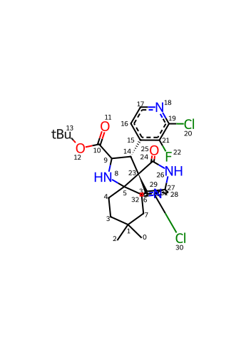 CC1(C)CCC2(CC1)NC(C(=O)OC(C)(C)C)[C@H](c1ccnc(Cl)c1F)[C@]21C(=O)Nc2cc(Cl)ncc21